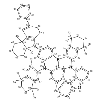 Cc1cc2c3c(c1)N(c1cccc4oc5ccccc5c14)c1cc4c(cc1B3c1ccc(N3C5=C(C=C(c6ccccc6)CC5)C5(C)CCCCC35C)cc1N2c1cc2c(cc1C)C(C)(C)CCC2(C)C)C(C)(C)CCC4(C)C